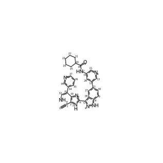 C#Cc1[nH]c(-c2n[nH]c3ccc(-c4cncc(NC(=O)C5CCCCC5)c4)cc23)nc1/C(=C\N)c1cccnc1